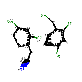 Clc1cc(Br)ccc1CBr.N#CCc1ccc(Br)cc1Cl